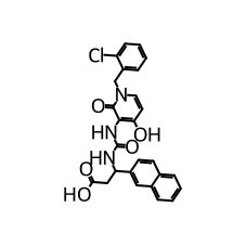 O=C(O)CC(NC(=O)Nc1c(O)ccn(Cc2ccccc2Cl)c1=O)c1ccc2ccccc2c1